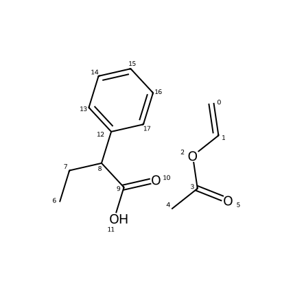 C=COC(C)=O.CCC(C(=O)O)c1ccccc1